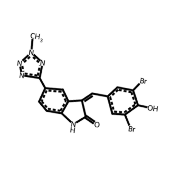 Cn1nnc(-c2ccc3c(c2)C(=Cc2cc(Br)c(O)c(Br)c2)C(=O)N3)n1